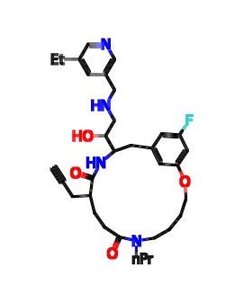 C#CCC1CCC(=O)N(CCC)CCCCOc2cc(F)cc(c2)CC(C(O)CNCc2cncc(CC)c2)NC1=O